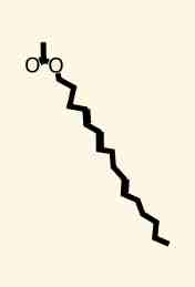 CCCCC/C=C/CC/C=C/C=C/CCCOC(C)=O